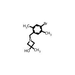 Cc1cc(CN2CC(C)(O)C2)c(C)cc1Br